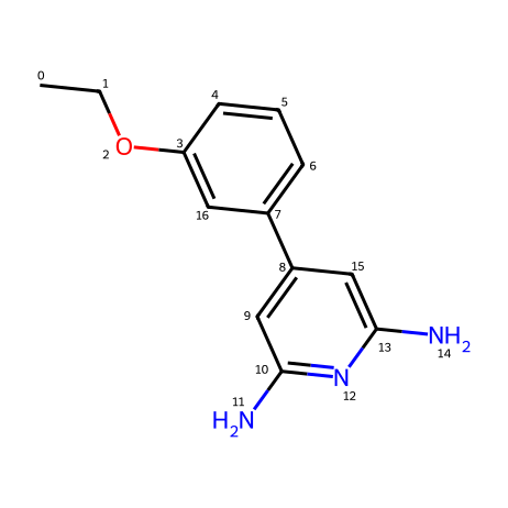 CCOc1cccc(-c2cc(N)nc(N)c2)c1